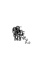 CCCCCC(F)(F)C(F)(F)C(F)(F)C(F)(F)S(=O)(=O)[O-].[Na+]